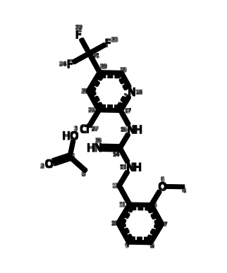 CC(=O)O.COc1ccccc1CNC(=N)Nc1ncc(C(F)(F)F)cc1Cl